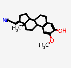 COc1cc2c(cc1O)CCC1C2CCC2(C)C(=CC#N)CCC12